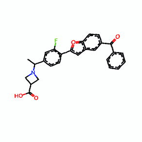 CC(c1ccc(-c2cc3cc(C(=O)c4ccccc4)ccc3o2)c(F)c1)N1CC(C(=O)O)C1